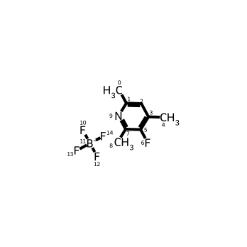 Cc1cc(C)c(F)c(C)n1.F[B-](F)(F)F